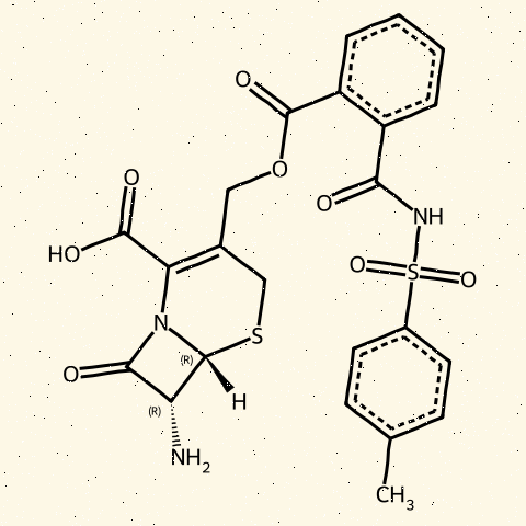 Cc1ccc(S(=O)(=O)NC(=O)c2ccccc2C(=O)OCC2=C(C(=O)O)N3C(=O)[C@@H](N)[C@H]3SC2)cc1